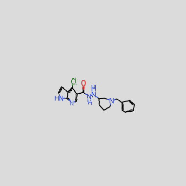 O=C(NNC1CCCN(Cc2ccccc2)C1)c1cnc2[nH]ccc2c1Cl